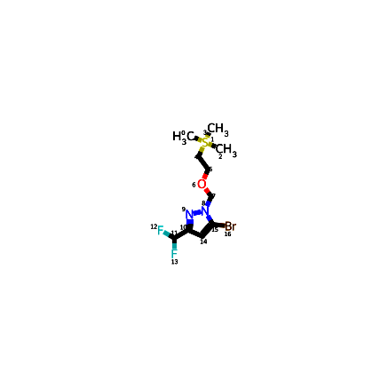 CS(C)(C)CCOCn1nc(C(F)F)cc1Br